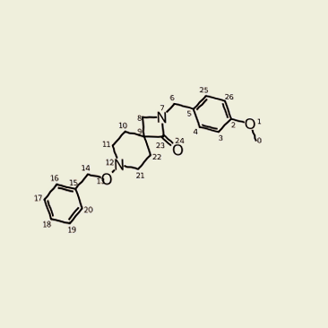 COc1ccc(CN2CC3(CCN(OCc4ccccc4)CC3)C2=O)cc1